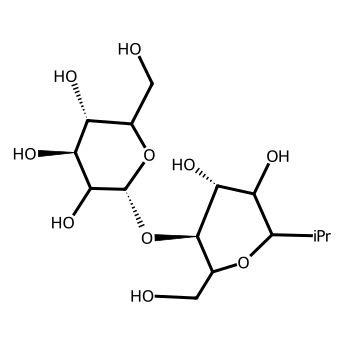 CC(C)C1OC(CO)[C@@H](O[C@H]2OC(CO)[C@@H](O)[C@H](O)C2O)[C@H](O)C1O